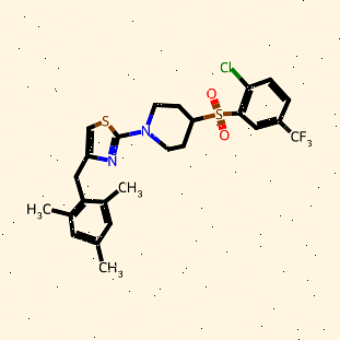 Cc1cc(C)c(Cc2csc(N3CCC(S(=O)(=O)c4cc(C(F)(F)F)ccc4Cl)CC3)n2)c(C)c1